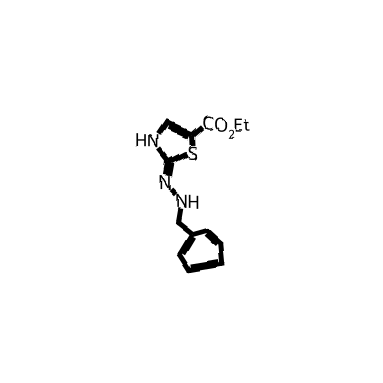 CCOC(=O)c1c[nH]c(=NNCc2ccccc2)s1